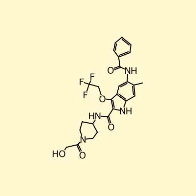 Cc1cc2[nH]c(C(=O)NC3CCN(C(=O)CO)CC3)c(OCC(F)(F)F)c2cc1NC(=O)c1ccccc1